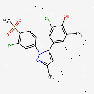 Cc1cc(-c2cc(C(F)(F)F)nn2-c2ccc(S(C)(=O)=O)c(F)c2)cc(Cl)c1O